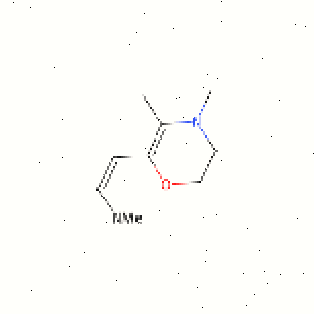 CN/C=C\C1=C(C)N(C)CCO1